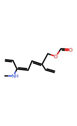 C=C/C(=C\C=C(/C=C)NC)COC=O